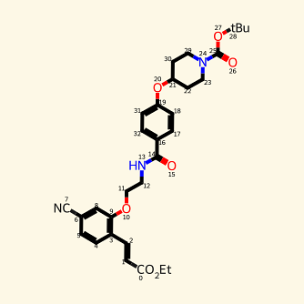 CCOC(=O)C=Cc1ccc(C#N)cc1OCCNC(=O)c1ccc(OC2CCN(C(=O)OC(C)(C)C)CC2)cc1